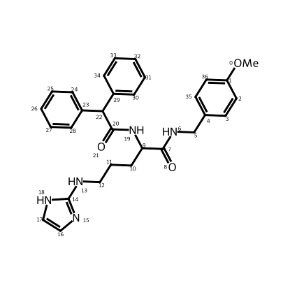 COc1ccc(CNC(=O)C(CCCNc2ncc[nH]2)NC(=O)C(c2ccccc2)c2ccccc2)cc1